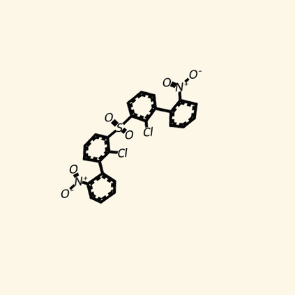 O=[N+]([O-])c1ccccc1-c1cccc(S(=O)(=O)c2cccc(-c3ccccc3[N+](=O)[O-])c2Cl)c1Cl